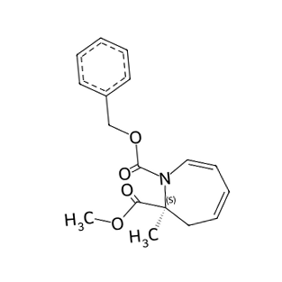 COC(=O)[C@]1(C)CC=CC=CN1C(=O)OCc1ccccc1